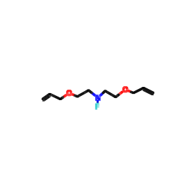 C=CCOCCN(F)CCOCC=C